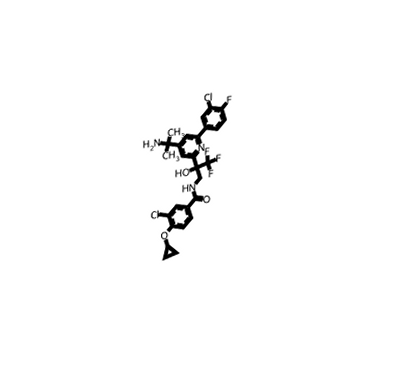 CC(C)(N)c1cc(-c2ccc(F)c(Cl)c2)nc(C(O)(CNC(=O)c2ccc(OC3CC3)c(Cl)c2)C(F)(F)F)c1